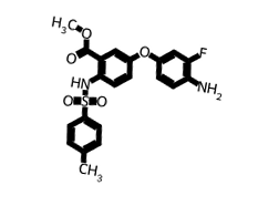 COC(=O)c1cc(Oc2ccc(N)c(F)c2)ccc1NS(=O)(=O)c1ccc(C)cc1